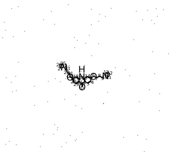 O=c1c2ccc(OCCCN3CCC3)cc2[nH]c2cc(OCCCN3CCC3)ccc12